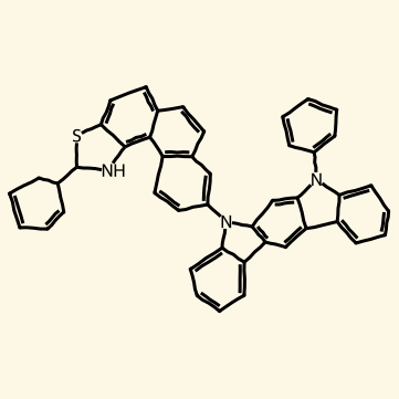 C1=CCC(C2Nc3c(ccc4ccc5cc(-n6c7ccccc7c7cc8c9ccccc9n(-c9ccccc9)c8cc76)ccc5c34)S2)C=C1